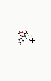 CC(C)(C)C(=O)C(O)[C@H]1O[C@H](O)[C@@](O)(C(=O)C(C)(C)C)[C@](O)(C(=O)C(C)(C)C)[C@@]1(O)C(=O)C(C)(C)C.Cl